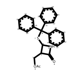 CC(=O)OCC1C(=O)NC1SC(c1ccccc1)(c1ccccc1)c1ccccc1